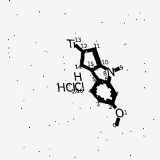 COc1ccc2c(c1)N(C)C1=C[CH]([Ti])CC12.Cl.Cl